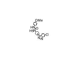 COc1ccc(NC(=O)N(S)C2CCN(c3ncnc4cc(Cl)ccc34)CC2)cc1